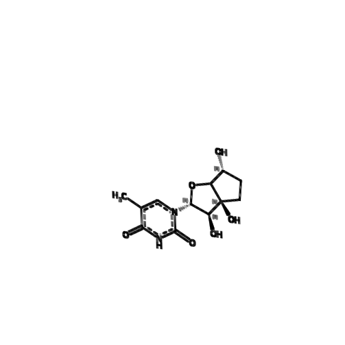 Cc1cn([C@@H]2OC3[C@H](O)CC[C@]3(O)[C@H]2O)c(=O)[nH]c1=O